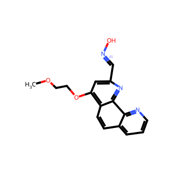 COCCOc1cc(/C=N/O)nc2c1ccc1cccnc12